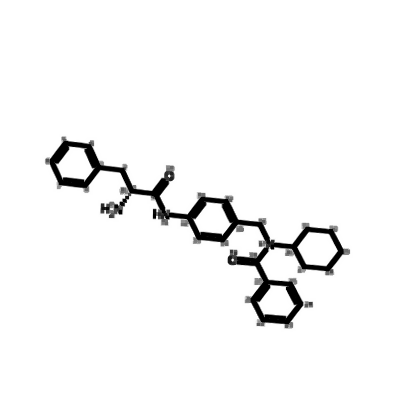 N[C@H](Cc1ccccc1)C(=O)Nc1ccc(CN(C(=O)c2ccccc2)C2CCCCC2)cc1